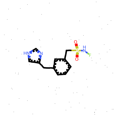 O=S(=O)(Cc1cccc(Cc2c[nH]cn2)c1)NF